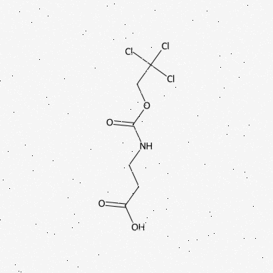 O=C(O)CCNC(=O)OCC(Cl)(Cl)Cl